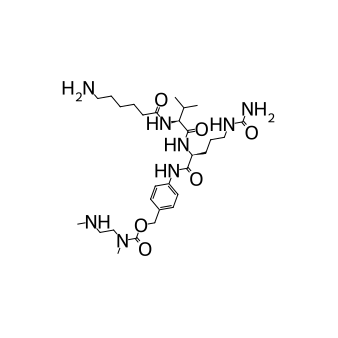 CNCCN(C)C(=O)OCc1ccc(NC(=O)[C@H](CCCNC(N)=O)NC(=O)[C@@H](NC(=O)CCCCCN)C(C)C)cc1